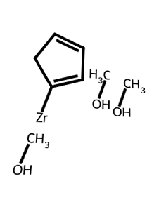 CO.CO.CO.[Zr][C]1=CC=CC1